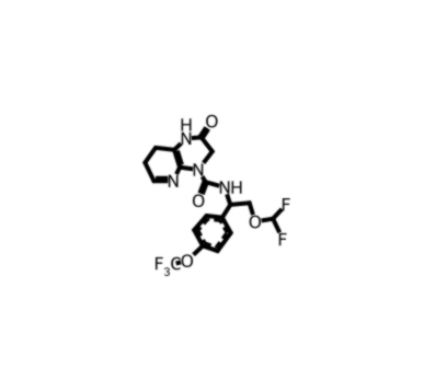 O=C1CN(C(=O)NC(COC(F)F)c2ccc(OC(F)(F)F)cc2)C2=C(CCC=N2)N1